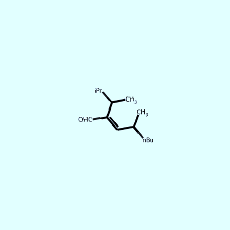 CCCCC(C)C=C(C=O)C(C)C(C)C